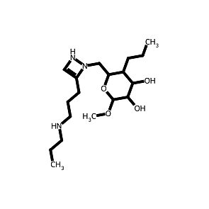 CCCNCCCc1c[nH]n1CC1OC(OC)C(O)C(O)C1CCC